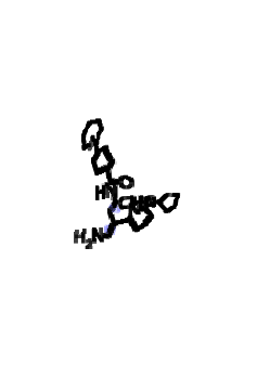 N/C=C(\C=C(/C=O)NC(=O)c1ccc(N2CCCCC2)cc1)c1cccc(NC2CCCC2)n1